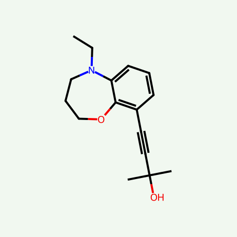 CCN1CCCOc2c(C#CC(C)(C)O)cccc21